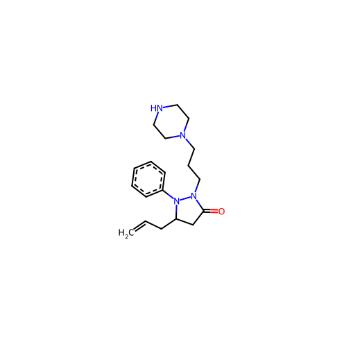 C=CCC1CC(=O)N(CCCN2CCNCC2)N1c1ccccc1